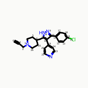 C#CCN1CCC(c2[nH]nc(-c3ccc(Cl)cc3)c2-c2ccncc2)CC1